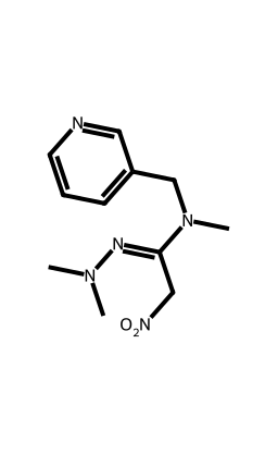 CN(C)N=C(C[N+](=O)[O-])N(C)Cc1cccnc1